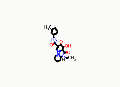 CCN1C(=O)c2c(O)c(=O)c(C(=O)NCc3cccc(C)c3)cn2N2CCCC[C@@H]12